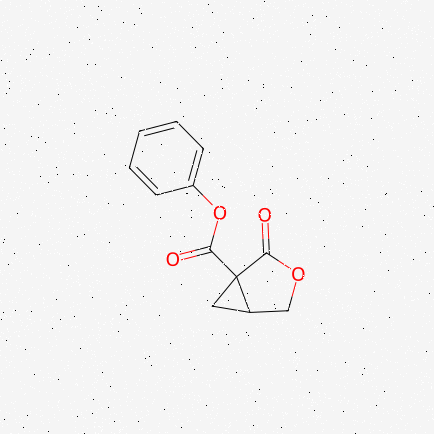 O=C1OCC2CC12C(=O)Oc1ccccc1